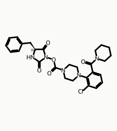 O=C(ON1C(=O)N[C@@H](Cc2ccccc2)C1=O)N1CCN(c2c(Cl)cccc2C(=O)N2CCCCC2)CC1